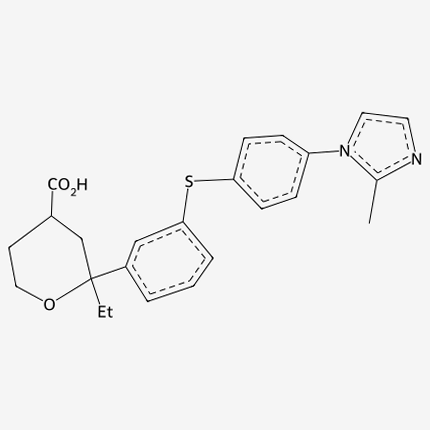 CCC1(c2cccc(Sc3ccc(-n4ccnc4C)cc3)c2)CC(C(=O)O)CCO1